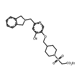 CCOC(=O)CS(=O)(=O)N1CCC(COc2cnc(CN3Cc4ccccc4C3)cc2C#N)CC1